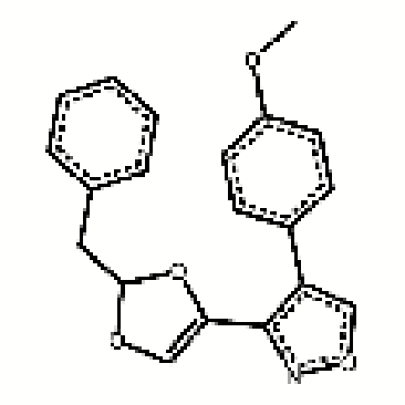 COc1ccc(-c2conc2C2=COC(Cc3ccccc3)O2)cc1